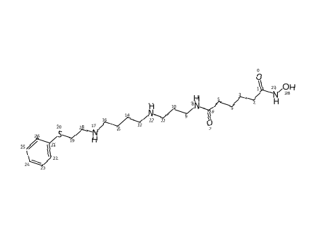 O=C(CCCCC(=O)NCCCNCCCCNCCSc1ccccc1)NO